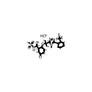 Cl.Cn1c(-c2ccccc2C(F)(F)F)nnc1C(C)(C)Oc1ccc(Cl)cc1C(=O)NS(C)(=O)=O